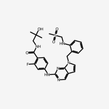 CC(C)(O)CNC(=O)c1ccc(Nc2ncc3ccn(Cc4ccccc4NCS(C)(=O)=O)c3n2)cc1F